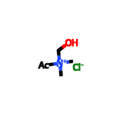 CC(=O)[N+](C)(C)CO.[Cl-]